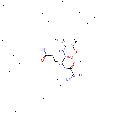 CC[C@H](N)C(=O)N[C@@H](CCC(N)=O)C(=O)N[C@H](C(=O)O)[C@@H](C)O